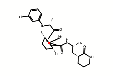 C[C@@H](Nc1cccc(Cl)c1)C(=O)N1[C@@H]2CC[C@H]([C@@H]1C(=O)N[C@H](C#N)C[C@H]1CCCNC1=O)C(F)(F)C2